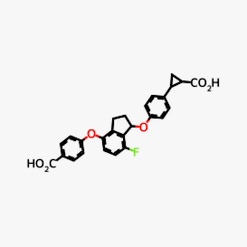 O=C(O)c1ccc(Oc2ccc(F)c3c2CCC3Oc2ccc(C3CC3C(=O)O)cc2)cc1